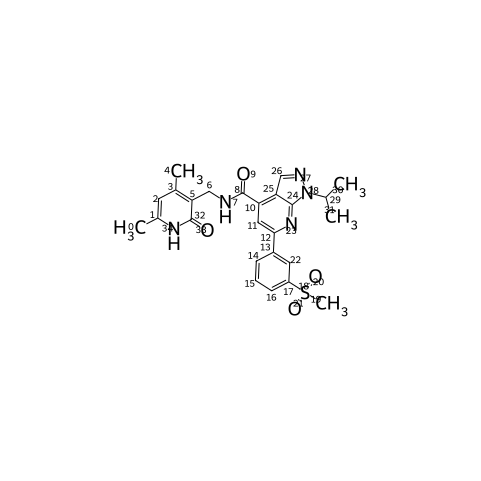 Cc1cc(C)c(CNC(=O)c2cc(-c3cccc(S(C)(=O)=O)c3)nc3c2cnn3C(C)C)c(=O)[nH]1